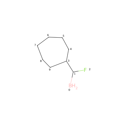 BC(F)C1CCCCCC1